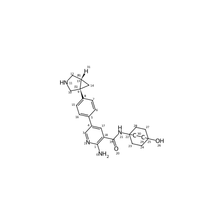 Nc1ncc(-c2ccc([C@@]34CNC[C@@H]3C4)cc2)cc1C(=O)NC12CCC(O)(CC1)CC2